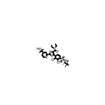 CCN(CC)C(=O)c1nc(-c2cc(C(C)(C)O)ccn2)sc1-c1ccc(S(=O)(=O)N[C@@H](C)C(F)(F)F)c(Cl)c1Cl